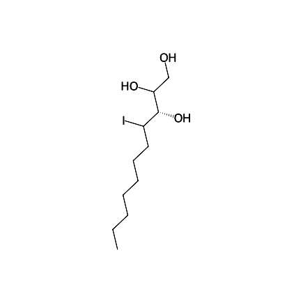 CCCCCCCC(I)[C@@H](O)C(O)CO